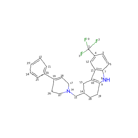 FC(F)(F)c1ccc2[nH]c3c(c2c1)CC(CN1CC=C(c2ccccc2)CC1)CC3